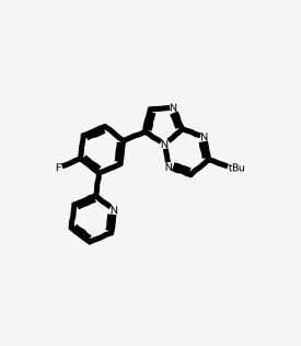 CC(C)(C)c1cnn2c(-c3ccc(F)c(-c4ccccn4)c3)cnc2n1